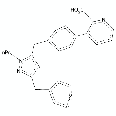 CCCn1nc(Cc2ccccc2)nc1Cc1ccc(-c2cccnc2C(=O)O)cc1